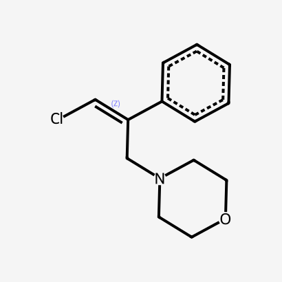 Cl/C=C(\CN1CCOCC1)c1ccccc1